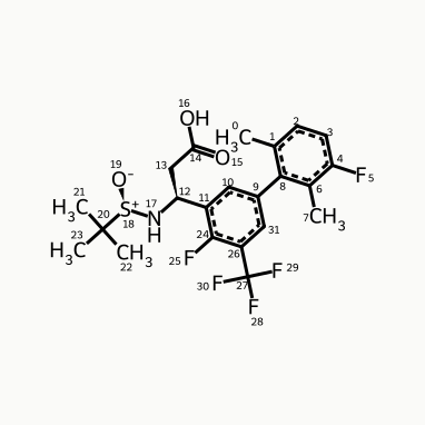 Cc1ccc(F)c(C)c1-c1cc([C@H](CC(=O)O)N[S@+]([O-])C(C)(C)C)c(F)c(C(F)(F)F)c1